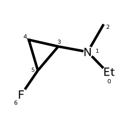 CCN(C)C1CC1F